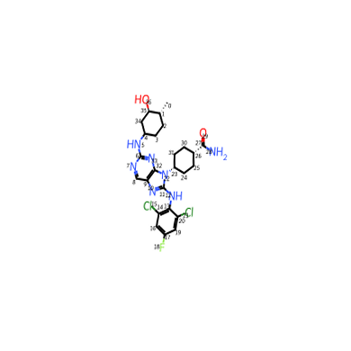 C[C@@H]1CCC(Nc2ncc3nc(Nc4c(Cl)cc(F)cc4Cl)n([C@H]4CC[C@@H](C(N)=O)CC4)c3n2)C[C@H]1O